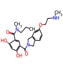 CCCN(C)C(=O)c1cc(C(=O)N2Cc3ccc(OCCNC)cc3C2)c(O)cc1O